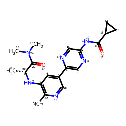 C[C@@H](Nc1cc(-c2cnc(NC(=O)C3CC3)cn2)cnc1C#N)C(=O)N(C)C